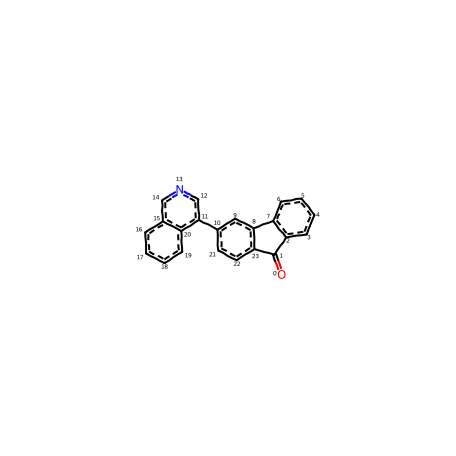 O=C1c2ccccc2-c2cc(-c3cncc4ccccc34)ccc21